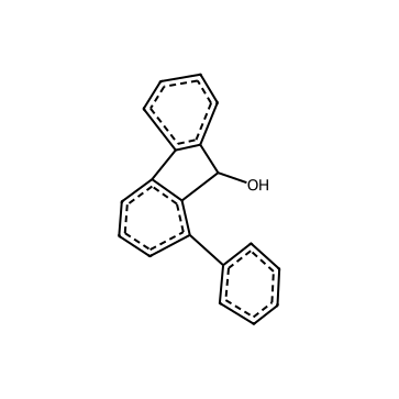 OC1c2ccccc2-c2cccc(-c3ccccc3)c21